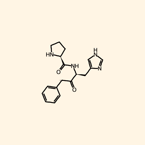 O=C([CH]c1ccccc1)[C@H](Cc1c[nH]cn1)NC(=O)[C@@H]1CCCN1